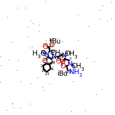 CC[C@H](C)[C@H](N)C(=O)N(C)CC(=O)N(C)CC(=O)N(C)[C@@H](CC1CCCCC1)C(=O)N(C)CC(=O)OC(C)(C)C